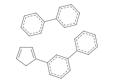 C1=CCC(c2cccc(-c3ccccc3)c2)=C1.c1ccc(-c2ccccc2)cc1